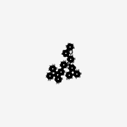 c1ccc(-c2ccc(N(c3cccc(-c4ccc5c(c4)c(-c4ccccc4)c(-c4ccccc4)c4ccccc45)c3)c3cccc(-c4cccc5c4oc4ccccc45)c3)cc2-c2ccccc2)cc1